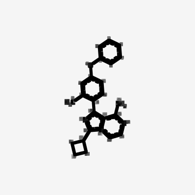 Cc1cc(Oc2ccccc2)ccc1-c1nc(C2CCC2)n2ccnc(N)c12